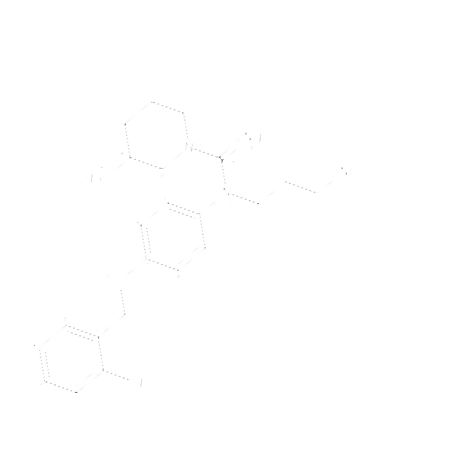 Cc1ccccc1COc1ccc(N(CCCN)C(=N)N2CCCC(C)C2)cc1